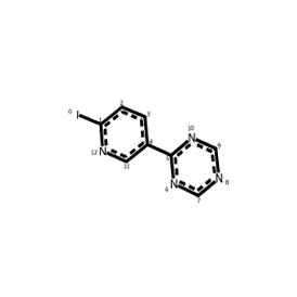 Ic1ccc(-c2ncncn2)cn1